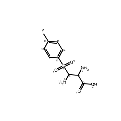 NC(C(=O)O)C(N)S(=O)(=O)c1ccc(I)cc1